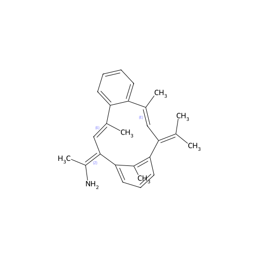 CC(C)=C1/C=C(\C)c2ccccc2/C(C)=C/C(=C(\C)N)c2cccc1c2C